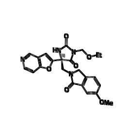 CCOCN1C(=O)N[C@@](CN2Cc3ccc(OC)cc3C2=O)(c2cc3cnccc3o2)C1=O